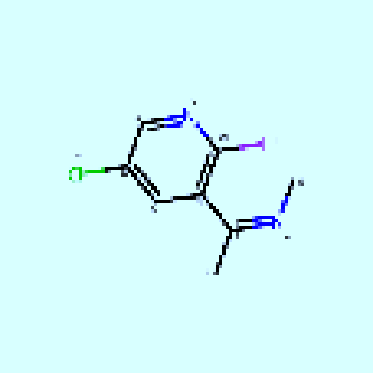 C/N=C(/C)c1cc(Cl)cnc1I